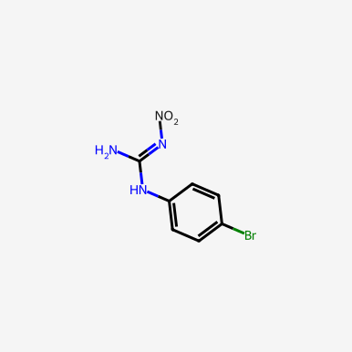 NC(=N[N+](=O)[O-])Nc1ccc(Br)cc1